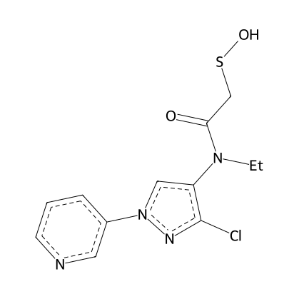 CCN(C(=O)CSO)c1cn(-c2cccnc2)nc1Cl